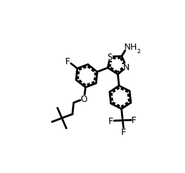 CC(C)(C)CCOc1cc(F)cc(-c2sc(N)nc2-c2ccc(C(F)(F)F)cc2)c1